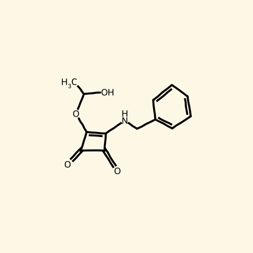 CC(O)Oc1c(NCc2ccccc2)c(=O)c1=O